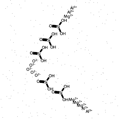 O=[Si](O)O.O=[Si](O)O.O=[Si](O)O.O=[Si](O)O.O=[Si](O)O.[Al+3].[Al+3].[Al+3].[Al+3].[Mg+2].[Mg+2].[Mg+2].[Mg+2].[O-2].[O-2].[O-2].[O-2].[O-2]